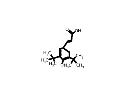 CC(C)(C)C1=CC(C=CC(=O)O)CC(C(C)(C)C)=C1O